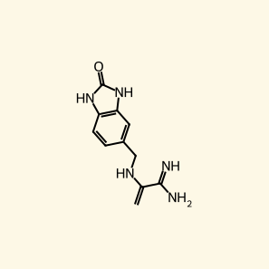 C=C(NCc1ccc2[nH]c(=O)[nH]c2c1)C(=N)N